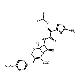 COc1cc[n+](CC2=C(C(=O)[O-])N3C(=O)C(NC(=O)C(=NOC(F)F)c4csc(N)n4)[C@@H]3SC2)cc1